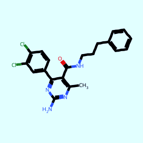 Cc1nc(N)nc(-c2ccc(Cl)c(Cl)c2)c1C(=O)NCCCc1ccccc1